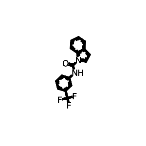 O=C(Nc1cccc(C(F)(F)F)c1)n1ccc2ccccc21